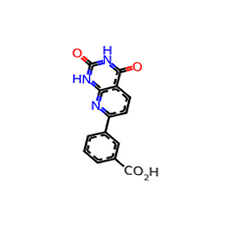 O=C(O)c1cccc(-c2ccc3c(=O)[nH]c(=O)[nH]c3n2)c1